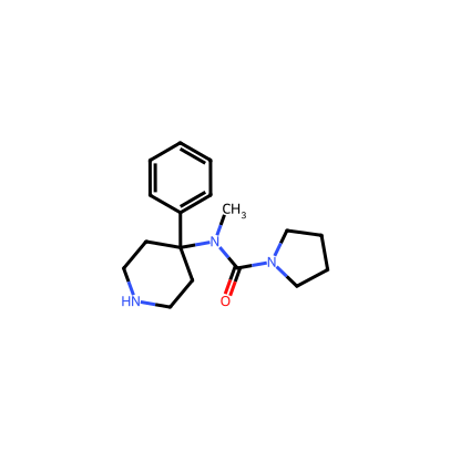 CN(C(=O)N1CCCC1)C1(c2ccccc2)CCNCC1